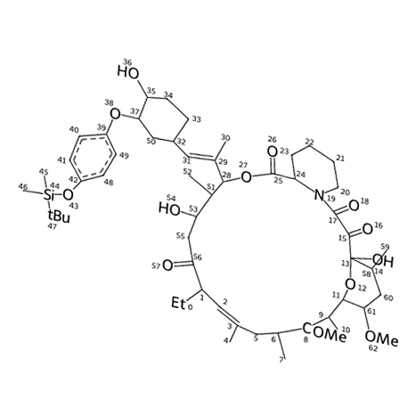 CCC1/C=C(\C)CC(C)CC(OC)C2OC(O)(C(=O)C(=O)N3CCCCC3C(=O)OC(C(C)=CC3CCC(O)C(Oc4ccc(O[Si](C)(C)C(C)(C)C)cc4)C3)C(C)C(O)CC1=O)C(C)CC2OC